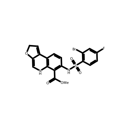 COC(=O)c1c(NS(=O)(=O)c2ccc(F)cc2Br)ccc2c1NC=C1OCC=C12